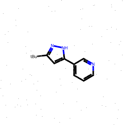 CC(C)(C)c1cc(-c2cccnc2)[nH]n1